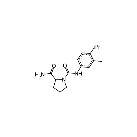 Cc1cc(NC(=O)N2CCCC2C(N)=O)ccc1C(C)C